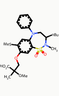 CCCCC1CN(c2ccccc2)c2cc(SC)c(OCC(C)(OC)C(=O)O)cc2S(=O)(=O)N1C